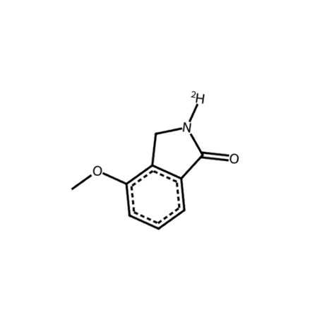 [2H]N1Cc2c(OC)cccc2C1=O